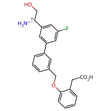 N[C@H](CO)c1cc(F)cc(-c2cccc(COc3ccccc3CC(=O)O)c2)c1